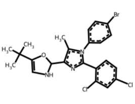 Cc1c(C2NC=C(C(C)(C)C)O2)nc(-c2ccc(Cl)cc2Cl)n1-c1ccc(Br)cc1